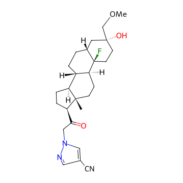 COC[C@@]1(O)CC[C@@]2(F)[C@H](CC[C@H]3[C@@H]4CC[C@H](C(=O)Cn5cc(C#N)cn5)[C@@]4(C)CC[C@@H]32)C1